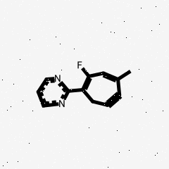 CC1=CC(F)=C(c2ncccn2)CC#C1